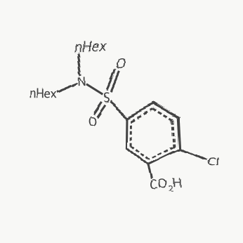 CCCCCCN(CCCCCC)S(=O)(=O)c1ccc(Cl)c(C(=O)O)c1